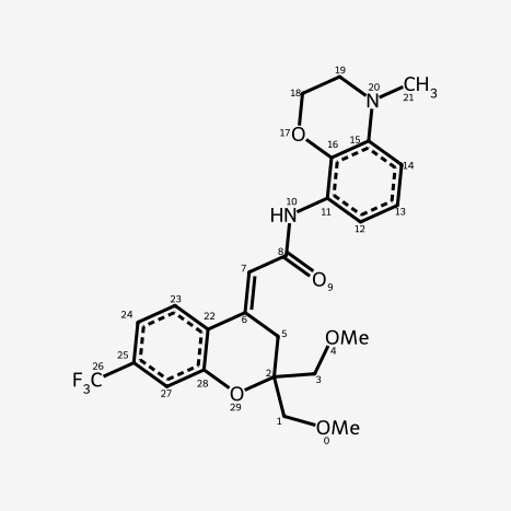 COCC1(COC)C/C(=C\C(=O)Nc2cccc3c2OCCN3C)c2ccc(C(F)(F)F)cc2O1